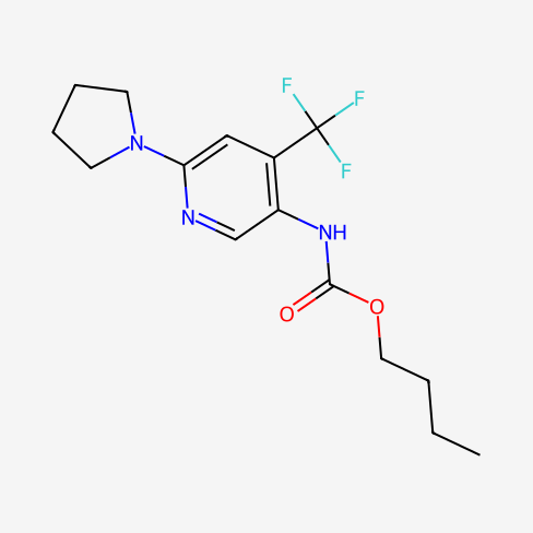 CCCCOC(=O)Nc1cnc(N2CCCC2)cc1C(F)(F)F